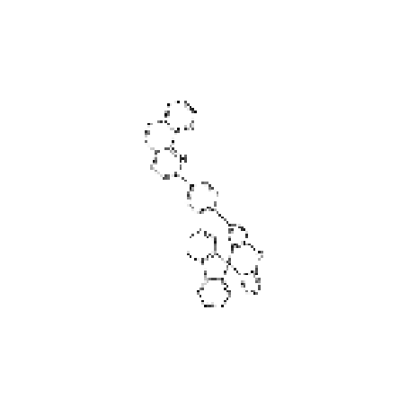 C1=CC2=C(CC1)c1ccccc1C21c2ccccc2Oc2ccc(-c3ccc(-c4ccc5ccc6cccnc6c5n4)cc3)cc21